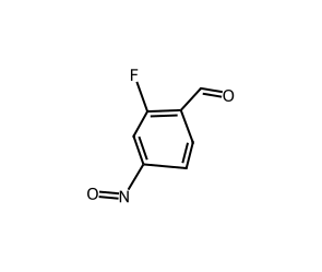 O=Cc1ccc(N=O)cc1F